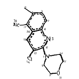 Cc1ccc2nc(N3CCOCC3)c(Cl)cc2c1C#N